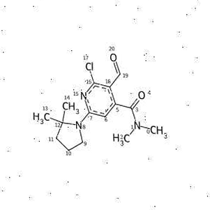 CN(C)C(=O)c1cc(N2CCCC2(C)C)nc(Cl)c1C=O